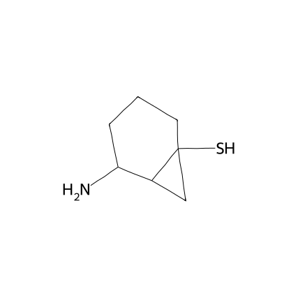 NC1CCCC2(S)CC12